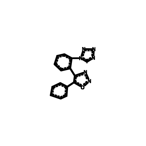 [c]1nnnn1-c1ccccc1-c1nnoc1-c1ccccc1